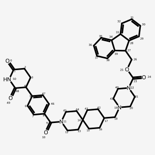 O=C1CCC(c2ccc(C(=O)N3CCC4(CCC(CN5CCN(C(=O)OCC6c7ccccc7-c7ccccc76)CC5)CC4)CC3)cc2)C(=O)N1